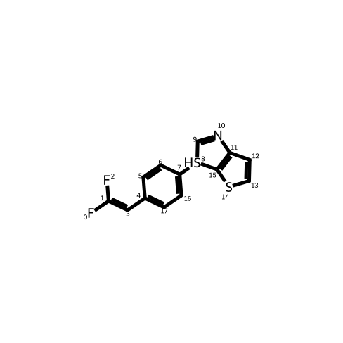 FC(F)=Cc1ccc([SH]2C=Nc3ccsc32)cc1